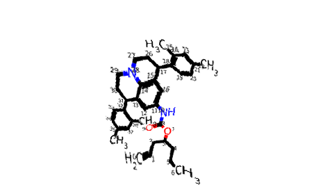 C=CCC(CCC)OC(=O)Nc1cc2c3c(c1)C(c1ccc(C)cc1C)CCN3CCC2c1ccc(C)cc1C